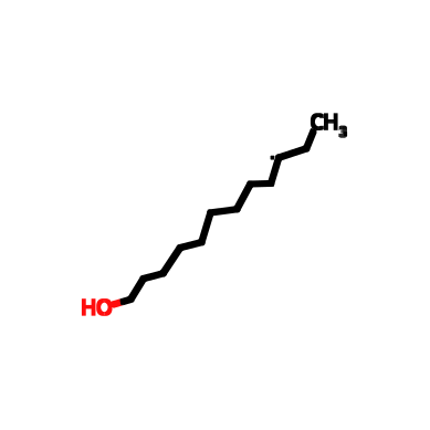 CC[CH]CCCCCCCCCO